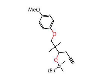 C#CCC(O[Si](C)(C)C(C)(C)C)C(C)(C)COc1ccc(OC)cc1